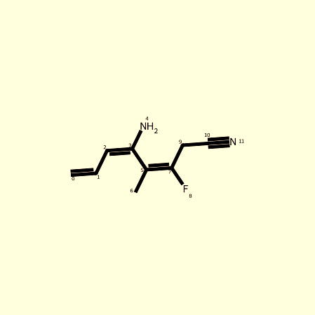 C=C/C=C(N)\C(C)=C(\F)CC#N